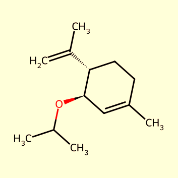 C=C(C)[C@@H]1CCC(C)=C[C@H]1OC(C)C